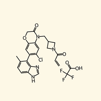 C=CC(=O)N1CC(CN2C(=O)COc3cc(-c4c(C)ccc5[nH]cnc45)c(Cl)cc32)C1.O=C(O)C(F)(F)F